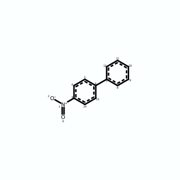 O=[N+]([O-])c1ccc(-c2[c]cccc2)cc1